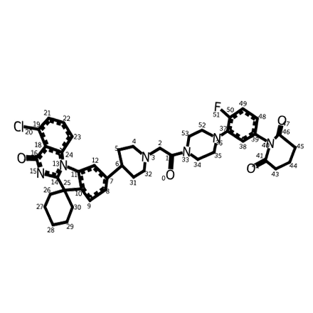 O=C(CN1CCC(c2ccc3c(c2)-n2c(nc(=O)c4c(Cl)cccc42)C32CCCCC2)CC1)N1CCN(c2cc(N3C(=O)CCCC3=O)ccc2F)CC1